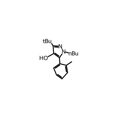 CCCCn1nc(C(C)(C)C)c(O)c1-c1ccccc1C